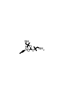 CC#C[SiH2]OC(OC(C)(C)CN)OC(C)(C)CN